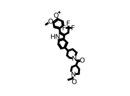 COc1ccc(-c2[nH]c3ccc(C4CCN(C(=O)C5CCN(C(C)=O)CC5)CC4)cc3c2CC(F)(F)F)cc1OC